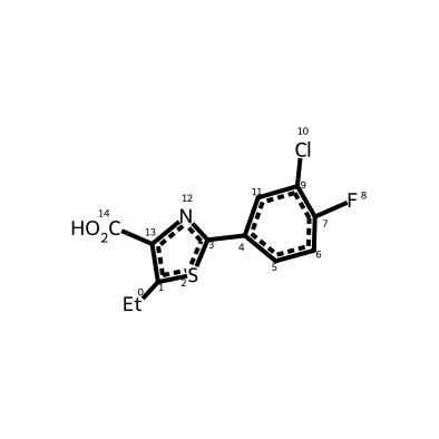 CCc1sc(-c2ccc(F)c(Cl)c2)nc1C(=O)O